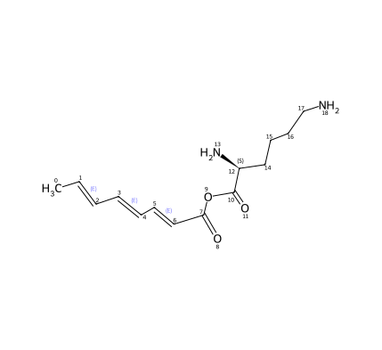 C/C=C/C=C/C=C/C(=O)OC(=O)[C@@H](N)CCCCN